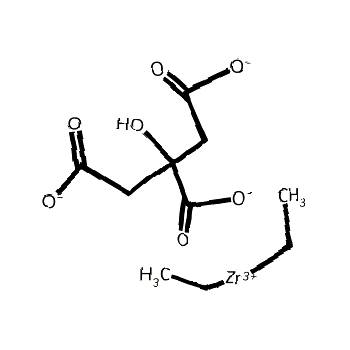 C[CH2][Zr+3][CH2]C.O=C([O-])CC(O)(CC(=O)[O-])C(=O)[O-]